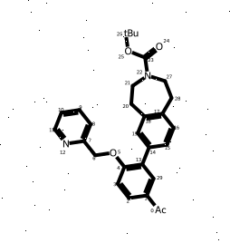 CC(=O)c1ccc(OCc2ccccn2)c(-c2ccc3c(c2)CCN(C(=O)OC(C)(C)C)CC3)c1